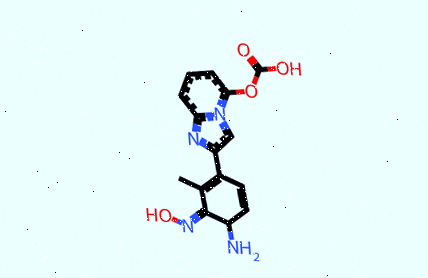 CC1=C(c2cn3c(OC(=O)O)cccc3n2)C=CC(N)C1=NO